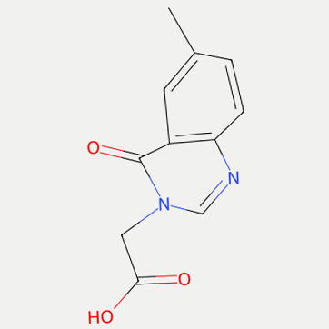 Cc1ccc2ncn(CC(=O)O)c(=O)c2c1